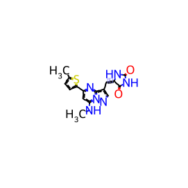 CNc1cc(-c2ccc(C)s2)nc2c(/C=C3/NC(=O)NC3=O)cnn12